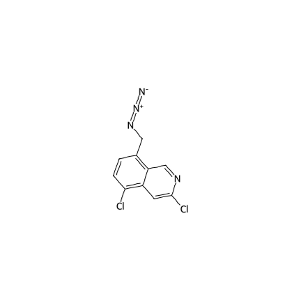 [N-]=[N+]=NCc1ccc(Cl)c2cc(Cl)ncc12